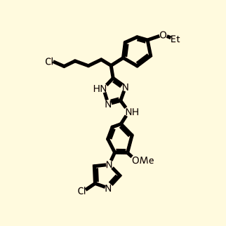 CCOc1ccc(C(CCCCCl)c2nc(Nc3ccc(-n4cnc(Cl)c4)c(OC)c3)n[nH]2)cc1